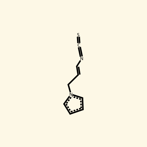 S=C=NC=CCn1cccc1